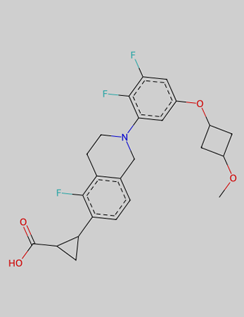 COC1CC(Oc2cc(F)c(F)c(N3CCc4c(ccc(C5CC5C(=O)O)c4F)C3)c2)C1